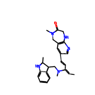 C/C=C(\C=C\c1cnc2c(c1)CN(C)C(=O)CN2)N(C)CC1c2ccccc2NC1C